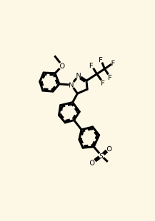 COc1ccccc1N1N=C(C(F)(F)C(F)(F)F)CC1c1cccc(-c2ccc(S(C)(=O)=O)cc2)c1